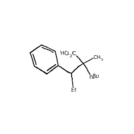 CCCCC(C)(C(=O)O)C(CC)c1ccccc1